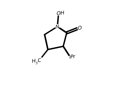 CC(C)C1C(=O)N(O)CC1C